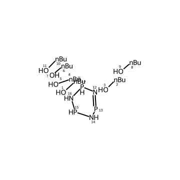 CCCCO.CCCCO.CCCCO.CCCCO.CCCCO.CCCCO.n1p[nH][pH][nH][pH]1